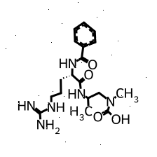 CC(CN(C)C(=O)O)NC(=O)[C@H](CCCNC(=N)N)NC(=O)c1ccccc1